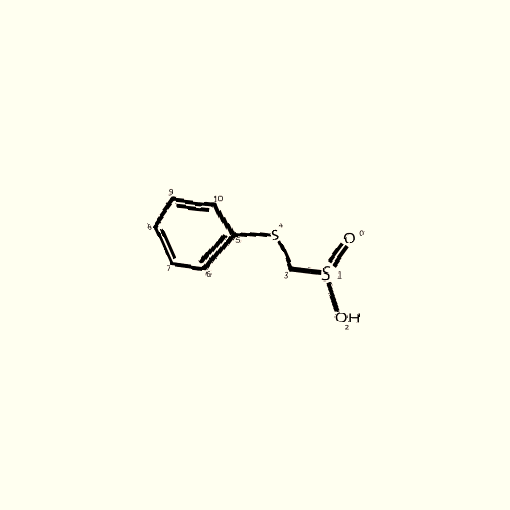 O=S(O)CSc1ccccc1